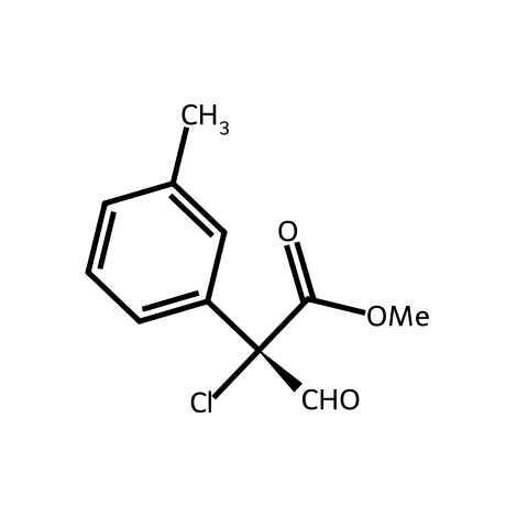 COC(=O)[C@@](Cl)(C=O)c1cccc(C)c1